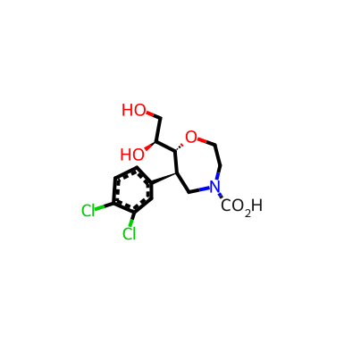 O=C(O)N1CCO[C@@H]([C@@H](O)CO)[C@H](c2ccc(Cl)c(Cl)c2)C1